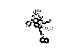 CCOC(=O)c1c(CCCOc2cccc3ccccc23)c2ccc(Cl)c(-c3c([C@@H](CCN4CCOCC4)N(C)C(=O)OC(C)(C)C)nn(C)c3CC)c2n1CCCCBr